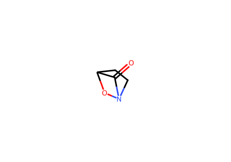 O=C1C2CCN1O2